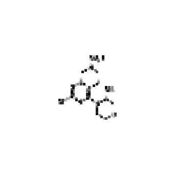 CC1COCCN1c1nc(Cl)nc2c1CCN(C(=O)O)C2